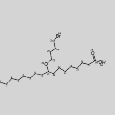 O=C(O)CCCCCCCC(CCCCCCCC(=O)O)OCCCCBr